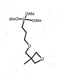 CO[Si](CCCOCC1(C)COC1)(OC)OC